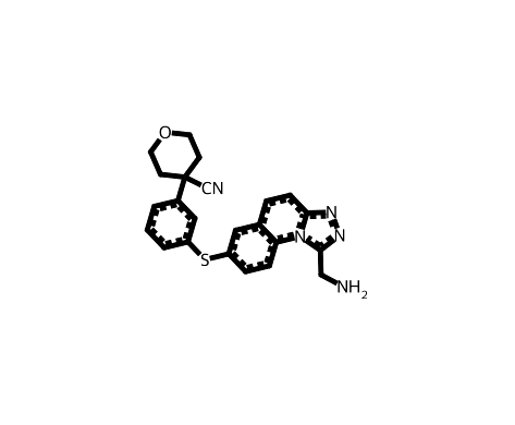 N#CC1(c2cccc(Sc3ccc4c(ccc5nnc(CN)n54)c3)c2)CCOCC1